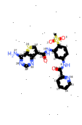 CS(=O)(=O)c1ccc(NC(=O)c2ccccn2)cc1NC(=O)c1csc2c(N)ncnc12